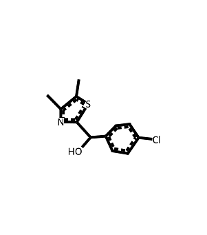 Cc1nc(C(O)c2ccc(Cl)cc2)sc1C